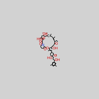 CCC1/C=C(\C)CC(C)CC(OC)C2OC(O)(C(=O)C(=O)N3CCCCC3C(=O)OC(C(C)=CC3CCC(O)(CCC(O)c4cc(C)cc(C)c4)C(OC)C3)C(C)C(O)CC1=O)C(C)CC2OC